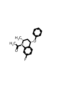 CC(=O)N1c2cc(F)ccc2[C@@H](Oc2ccccc2)C[C@H]1C